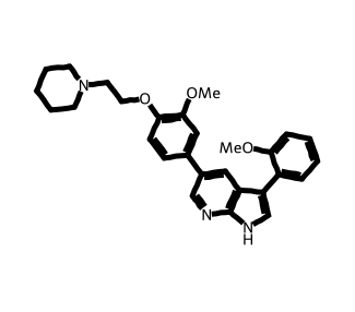 COc1cc(-c2cnc3[nH]cc(-c4ccccc4OC)c3c2)ccc1OCCN1CCCCC1